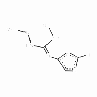 CONNC(=Nc1cnc(Cl)s1)NC#N